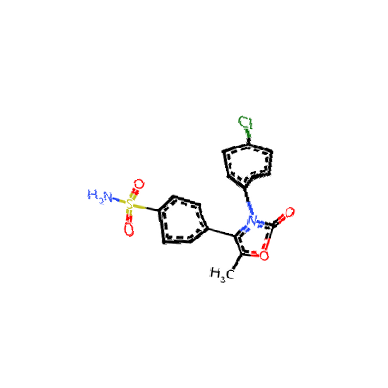 Cc1oc(=O)n(-c2ccc(Cl)cc2)c1-c1ccc(S(N)(=O)=O)cc1